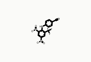 N#Cc1ccc(Nc2c([N+](=O)[O-])cc([N+](=O)[O-])cc2C(F)(F)F)cc1